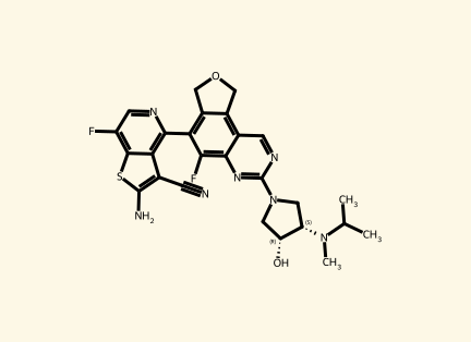 CC(C)N(C)[C@H]1CN(c2ncc3c4c(c(-c5ncc(F)c6sc(N)c(C#N)c56)c(F)c3n2)COC4)C[C@H]1O